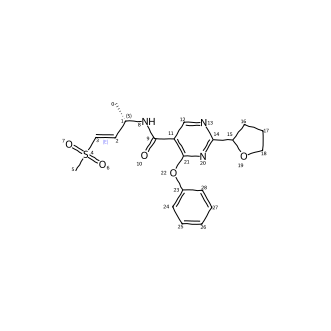 C[C@@H](/C=C/S(C)(=O)=O)NC(=O)c1cnc(C2CCCO2)nc1Oc1ccccc1